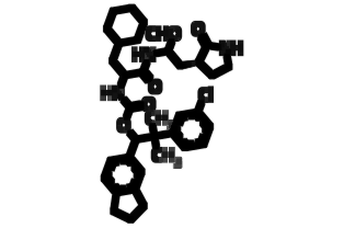 CC(C)(c1cccc(Cl)c1)C(OC(=O)NC(CC1CCCCC1)C(=O)NC(C=O)C[C@@H]1CCNC1=O)c1ccc2c(c1)CCC2